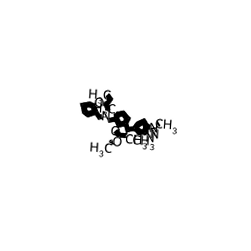 CCOC(=O)C(C)[C@H](c1ccc(C)c(CN2Cc3ccccc3OC(CC)C2)c1)c1ccc2c(nnn2C)c1C